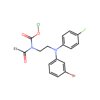 CCC(=O)N(CCN(c1ccc(F)cc1)c1cccc(Br)c1)C(=O)OCl